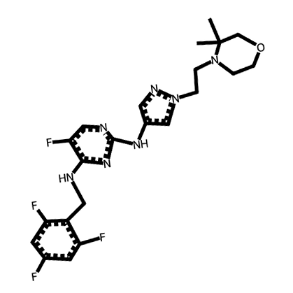 CC1(C)COCCN1CCn1cc(Nc2ncc(F)c(NCc3c(F)cc(F)cc3F)n2)cn1